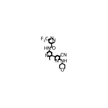 Cc1ncc(NC(=O)c2cnnc(C(F)(F)F)c2)cc1-c1cnc(NC2CCOCC2)c(C#N)c1